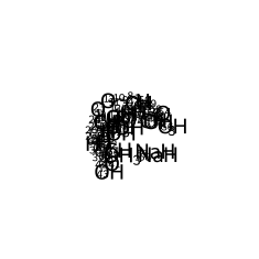 C[C@]12C[C@H](O)[C@H]3[C@@H](CCC4=CC(=O)CC(OP(=O)(O)OC5CC(=O)C=C6CC[C@@H]7[C@H]([C@@H](O)C[C@@]8(C)[C@H]7CC[C@]8(O)C(=O)CO)[C@]65C)[C@@]43C)[C@@H]1CC[C@]2(O)C(=O)CO.[NaH].[NaH]